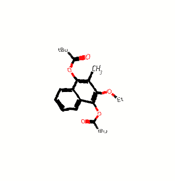 CCOc1c(C)c(OC(=O)C(C)(C)C)c2ccccc2c1OC(=O)C(C)(C)C